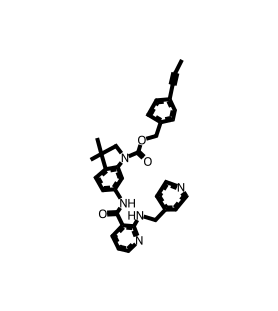 CC#Cc1ccc(COC(=O)N2CC(C)(C)c3ccc(NC(=O)c4cccnc4NCc4ccncc4)cc32)cc1